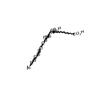 CC(=O)CCOCCOCCOCCOCCOCCOCCOCCOCCNC(=O)CCC[C@H](NC(=O)CCCCCCCCCCCCCCC(=O)O)C(=O)O